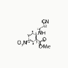 COC(=O)c1cc([N+](=O)[O-])ccc1NCCC#N